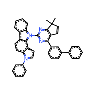 CC1(C)C=Cc2c(-c3cccc(-c4ccccc4)c3)nc(-n3c4ccccc4c4ccc5c(ccn5-c5ccccc5)c43)nc21